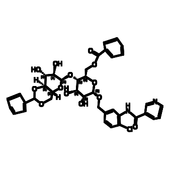 O=C(Nc1cc(CO[C@@H]2O[C@H](COC(=O)c3ccccc3)[C@@H](O[C@H]3O[C@@H]4COC(c5ccccc5)O[C@H]4[C@H](O)[C@H]3O)[C@H](O)[C@H]2O)ccc1Cl)c1cccnc1